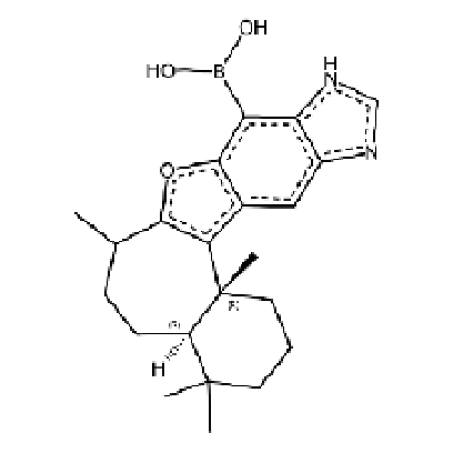 CC1CC[C@@H]2C(C)(C)CCC[C@@]2(C)c2c1oc1c(B(O)O)c3[nH]cnc3cc21